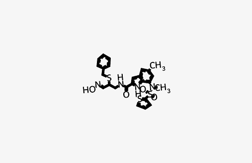 Cc1cc(N(C)S(=O)(=O)c2cccs2)c2[nH]c(C(=O)NCC(C=NO)SCc3ccccc3)cc2c1